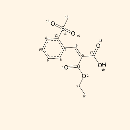 CCOC(=O)C(=Cc1ccccc1S(C)(=O)=O)C(=O)O